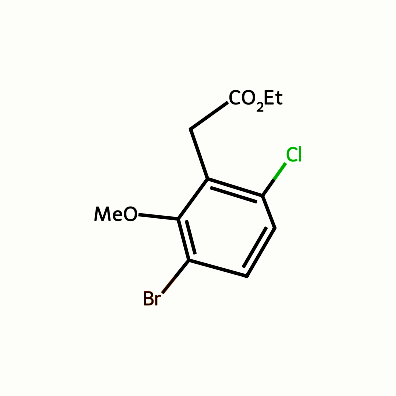 CCOC(=O)Cc1c(Cl)ccc(Br)c1OC